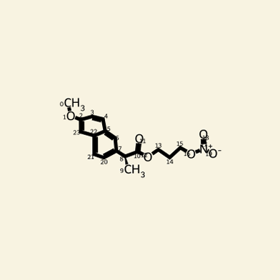 COc1ccc2cc([C@H](C)C(=O)OCCCO[N+](=O)[O-])ccc2c1